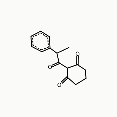 CC(C(=O)C1C(=O)CCCC1=O)c1ccccc1